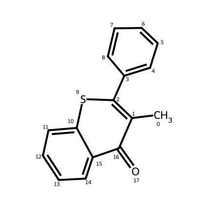 Cc1c(-c2ccccc2)sc2ccccc2c1=O